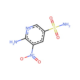 Nc1ncc(S(N)(=O)=O)cc1[N+](=O)[O-]